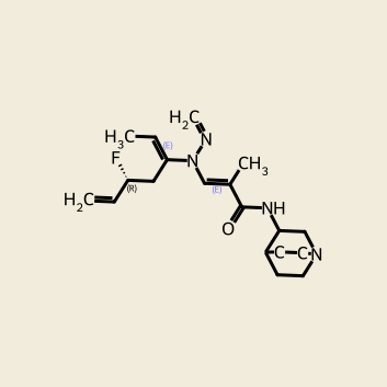 C=C[C@H](F)C/C(=C\C)N(/C=C(\C)C(=O)NC1CN2CCC1CC2)N=C